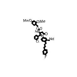 COc1ccc(COC(=O)N[C@H]2CC(=O)N(c3ccc(CCCCc4ccc(F)cc4)c(C=N)c3)C2c2cccc(Cl)c2)c(OC)c1